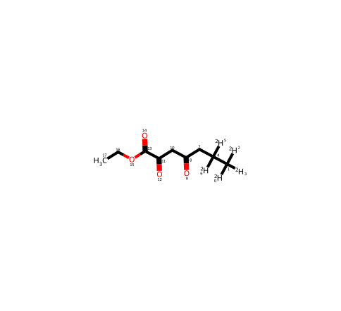 [2H]C([2H])([2H])C([2H])([2H])CC(=O)CC(=O)C(=O)OCC